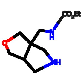 CCOC(=O)NCC12CNCC1COC2